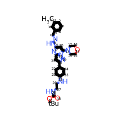 Cc1cccc(/C=N/Nc2cc(N3CCOCC3)n3nc(-c4ccc(NCCNC(=O)OC(C)(C)C)cc4)cc3n2)c1